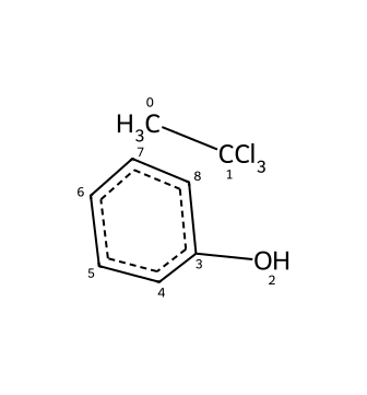 CC(Cl)(Cl)Cl.Oc1ccccc1